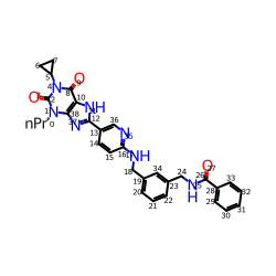 CCCn1c(=O)n(C2CC2)c(=O)c2[nH]c(-c3ccc(NCc4cccc(CNC(=O)c5ccccc5)c4)nc3)nc21